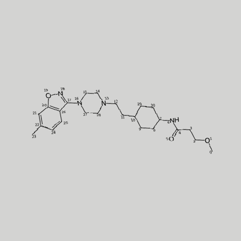 COCCC(=O)NC1CCC(CCN2CCN(c3noc4cc(C)ccc34)CC2)CC1